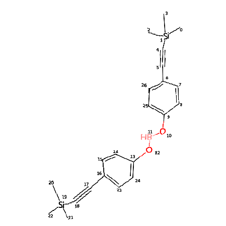 C[Si](C)(C)C#Cc1ccc(OBOc2ccc(C#C[Si](C)(C)C)cc2)cc1